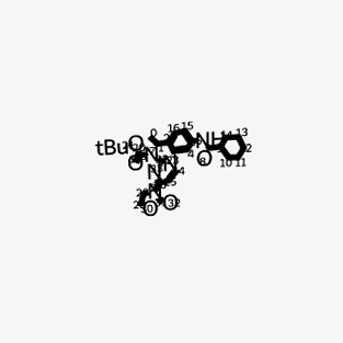 CC(c1ccc(NC(=O)C2CCCCC2)cc1)N(C(=O)OC(C)(C)C)c1nccc(N2CCOC2=O)n1